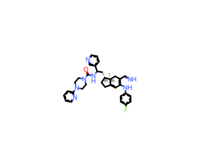 C[C@]12CC(C=N)=C(Nc3ccc(F)cc3)C=C1CC[C@@H]2CC(NC(=O)N1CCN(c2ccccn2)CC1)c1cccnc1